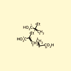 C=C(CC)C(=O)O.C=C(CC)C(=O)O.C=CC(=O)O